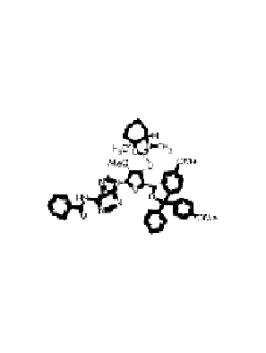 COc1ccc(C(OC[C@H]2O[C@@H](n3cnc4c(NC(=O)c5ccccc5)ncnc43)[C@H](OC)[C@@H]2O[P@@]2O[C@@]3(C)CCCC[C@@H]3N2C)(c2ccccc2)c2ccc(OC)cc2)cc1